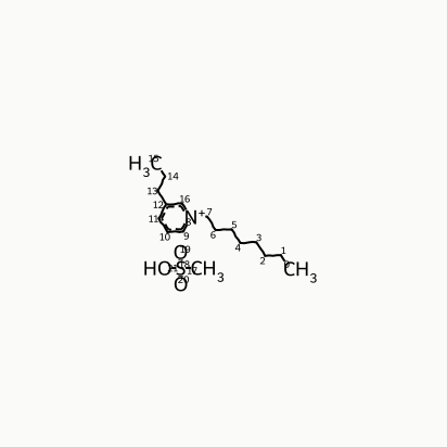 CCCCCCCC[n+]1cccc(CCC)c1.CS(=O)(=O)O